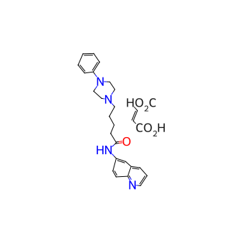 O=C(CCCCN1CCN(c2ccccc2)CC1)Nc1ccc2ncccc2c1.O=C(O)/C=C/C(=O)O